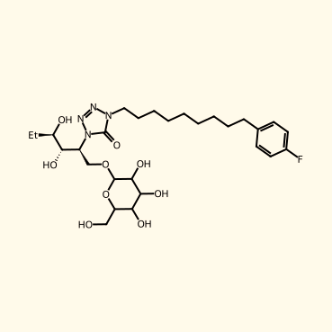 CC[C@@H](O)[C@@H](O)[C@H](COC1OC(CO)C(O)C(O)C1O)n1nnn(CCCCCCCCCc2ccc(F)cc2)c1=O